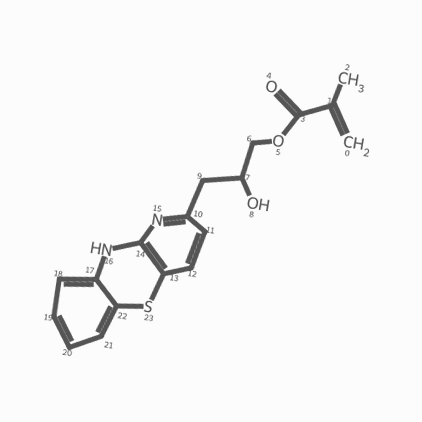 C=C(C)C(=O)OCC(O)Cc1ccc2c(n1)Nc1ccccc1S2